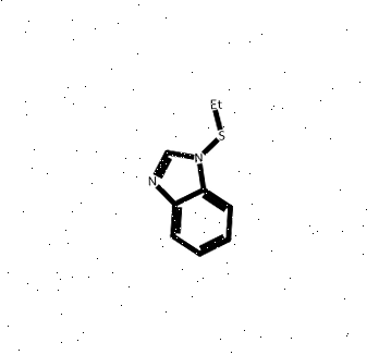 CCSn1cnc2ccccc21